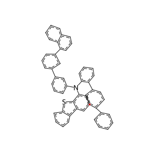 c1ccc(-c2ccc(-c3ccccc3N(c3cccc(-c4cccc(-c5cccc6ccccc56)c4)c3)c3cccc4c3sc3ccccc34)cc2)cc1